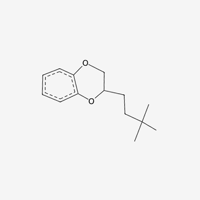 CC(C)(C)CCC1COc2ccccc2O1